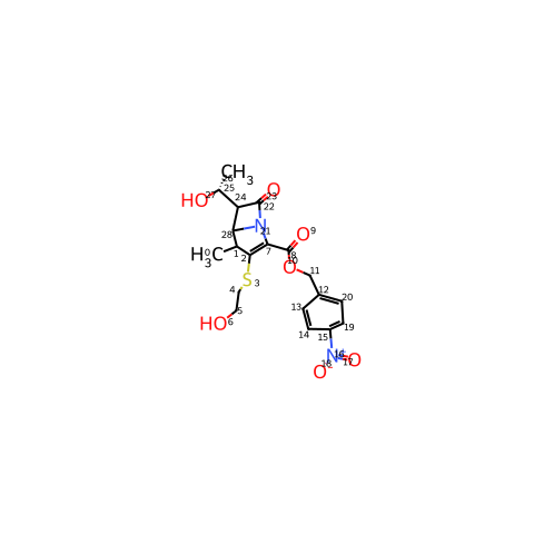 CC1C(SCCO)=C(C(=O)OCc2ccc([N+](=O)[O-])cc2)N2C(=O)C([C@@H](C)O)C12